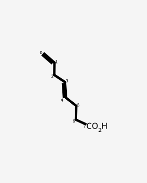 C=CCC=CCCC(=O)O